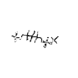 C[Si](C)(C)OS(=O)(=O)OCC(F)(F)C(F)(F)C(F)(F)COS(C)(=O)=O